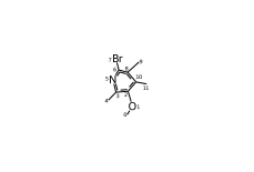 COc1c(C)nc(Br)c(C)c1C